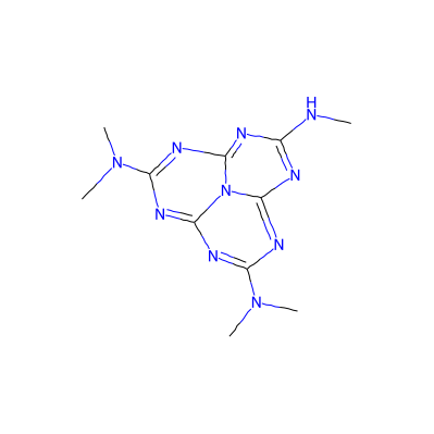 CNC1=NC2=NC(N(C)C)=NC3=NC(N(C)C)=NC(=N1)N23